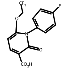 O=C(O)c1ccc(OCC(F)(F)F)n(-c2ccc(F)cc2)c1=O